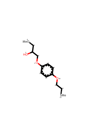 COCC(O)COc1ccc(OCCSC)cc1